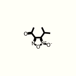 CC(=O)c1no[n+]([O-])c1C(C)C